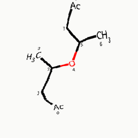 CC(=O)CC(C)OC(C)CC(C)=O